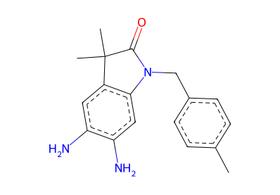 Cc1ccc(CN2C(=O)C(C)(C)c3cc(N)c(N)cc32)cc1